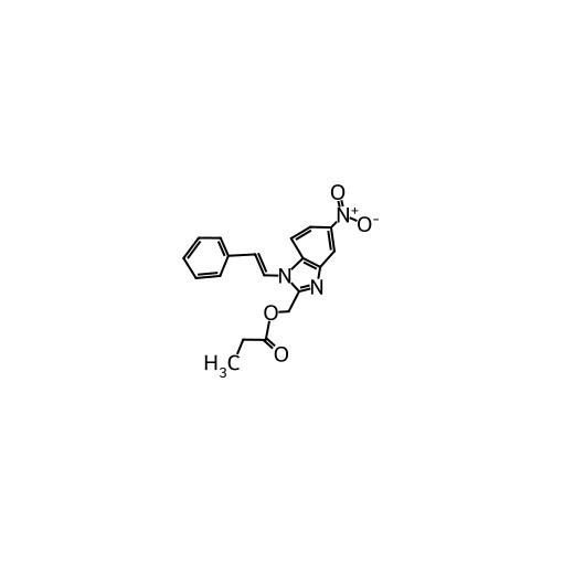 CCC(=O)OCc1nc2cc([N+](=O)[O-])ccc2n1C=Cc1ccccc1